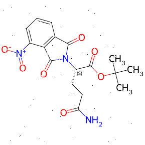 CC(C)(C)OC(=O)[C@H](CCC(N)=O)N1C(=O)c2cccc([N+](=O)[O-])c2C1=O